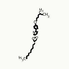 CCCCCCCCCC[C@H]1CO[C@H](c2ccc(-c3ccc(OCCCC[C@@H](C)CC)cc3)nc2)OC1